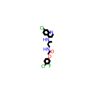 C=C(CCNC(=O)COc1ccc(Cl)c(F)c1)Nc1ccnc2cc(Cl)ccc12